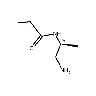 CCC(=O)N[C@@H](C)CN